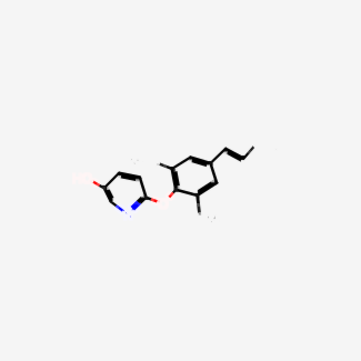 COc1cc(C=CC(=O)O)cc(OC)c1Oc1ccc(O)cn1